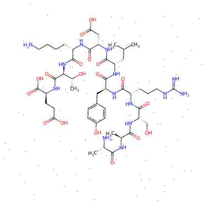 CC(C)C[C@H](NC(=O)[C@H](Cc1ccc(O)cc1)NC(=O)[C@H](CCCNC(=N)N)NC(=O)[C@H](CO)NC(=O)[C@H](C)NC(=O)[C@H](C)N)C(=O)N[C@@H](CC(=O)O)C(=O)N[C@@H](CCCCN)C(=O)N[C@H](C(=O)N[C@@H](CCC(=O)O)C(=O)O)[C@@H](C)O